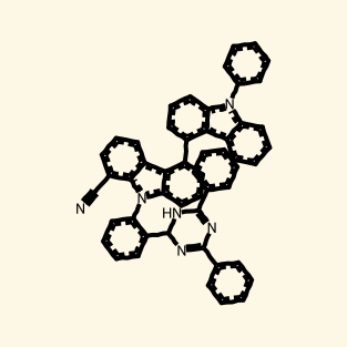 N#Cc1cccc2c3c(-c4cccc5c4c4ccccc4n5-c4ccccc4)cccc3n(-c3ccccc3C3N=C(c4ccccc4)N=C(c4ccccc4)N3)c12